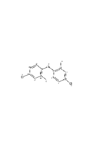 Cc1cc(Cl)ccc1Sc1ccc(Cl)cc1C